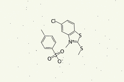 CSc1sc2ccc(Cl)cc2[n+]1C.Cc1ccc(S(=O)(=O)[O-])cc1